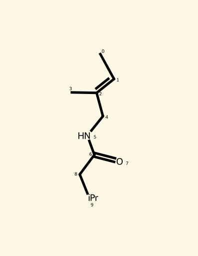 C/C=C(\C)CNC(=O)CC(C)C